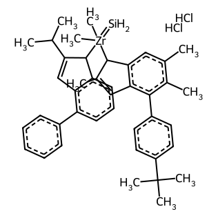 CC1=Cc2c(cc(C)c(C)c2-c2ccc(C(C)(C)C)cc2)[CH]1[Zr]([CH3])([CH3])(=[SiH2])[CH]1C(C(C)C)=Cc2c(-c3ccccc3)cccc21.Cl.Cl